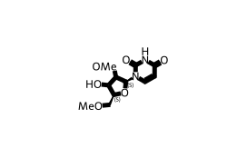 COC[C@@H]1O[C@H](n2ccc(=O)[nH]c2=O)C(OC)C1O